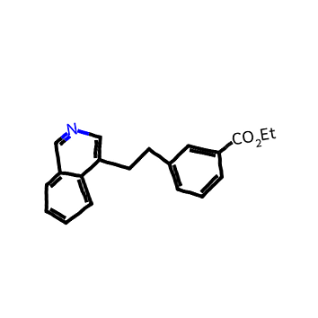 CCOC(=O)c1cccc(CCc2cncc3ccccc23)c1